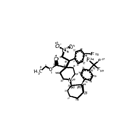 CCOC(=O)C1(C(C[N+](=O)[O-])c2ccc(F)cc2)CCN([C@@H]2CCCC[C@@H]2c2ccc(C(F)(F)F)cc2)CC1